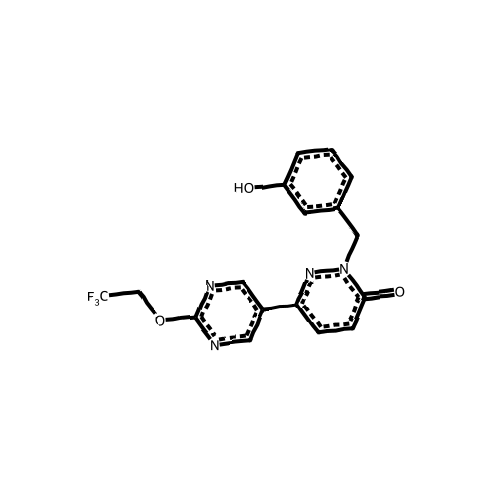 O=c1ccc(-c2cnc(OCC(F)(F)F)nc2)nn1Cc1cccc(O)c1